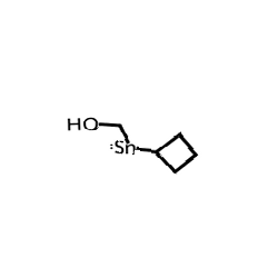 O[CH2][Sn][CH]1CCC1